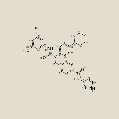 O=C(Nc1nn[nH]n1)c1ccc(CN(C(=O)Nc2cc(F)cc(C(F)(F)F)c2)c2ccc(C3CCCCC3)cc2)cc1